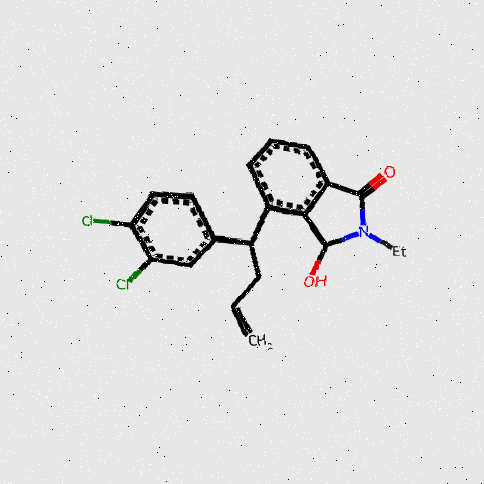 C=CCC(c1ccc(Cl)c(Cl)c1)c1cccc2c1C(O)N(CC)C2=O